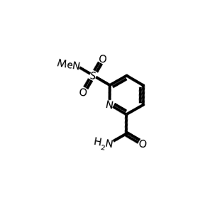 CNS(=O)(=O)c1cccc(C(N)=O)n1